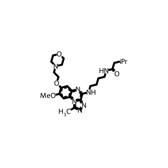 COc1cc2c(cc1OCCN1CCOCC1)nc(NCCCCNC(=O)CC(C)C)c1nnc(C)n12